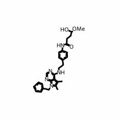 COC(O)CCC(=O)Nc1ccc(CCNc2ncnc3c2c(C)c(C)n3Cc2ccccc2)cc1